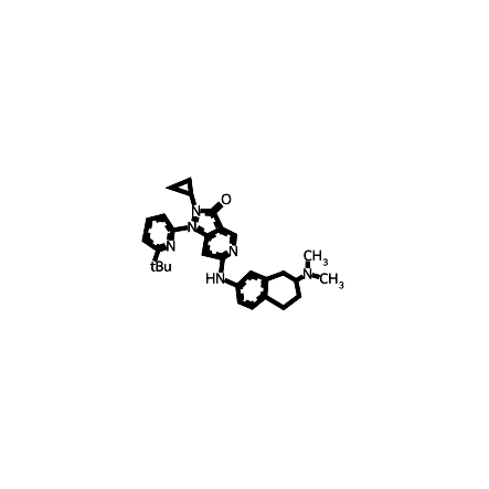 CN(C)C1CCc2ccc(Nc3cc4c(cn3)c(=O)n(C3CC3)n4-c3cccc(C(C)(C)C)n3)cc2C1